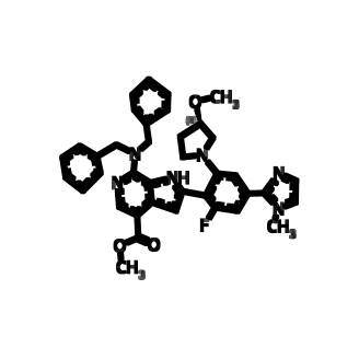 COC(=O)c1cnc(N(Cc2ccccc2)Cc2ccccc2)c2[nH]c(-c3c(F)cc(-c4nccn4C)cc3N3CC[C@@H](OC)C3)cc12